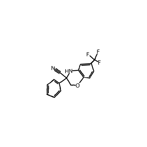 N#CC1(c2ccccc2)COc2ccc(C(F)(F)F)cc2N1